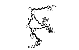 CCCCNOC(=O)CCCCCCCC(=O)OCC(COC(=O)CCCCC(=O)OCC(COC(=O)CCCC(=O)ONCCCC)OC(=O)CCCCCCCC(=O)ONCCCC)OC(=O)CCCCCCCC(=O)ONCCCC